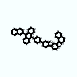 c1ccc2cc(-c3c4ccccc4c(-c4ccc(-c5ccc6c(c5)oc5c6ccc6oc7ccc8ccccc8c7c65)cc4)c4ccccc34)ccc2c1